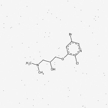 CN(C)CC(O)COc1cc(Br)cnc1Cl